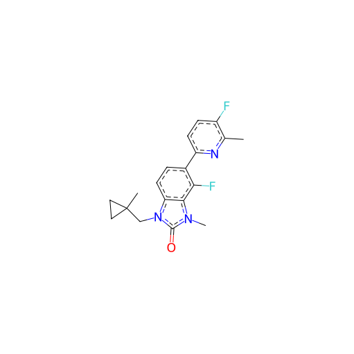 Cc1nc(-c2ccc3c(c2F)n(C)c(=O)n3CC2(C)CC2)ccc1F